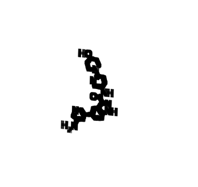 Nc1cncc(-c2ccc3[nH]nc(C(=O)Nc4ccc(N5CCC(O)CC5)nc4)c3c2)c1